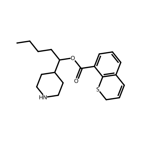 CCCCC(OC(=O)c1cccc2c1SCC=C2)C1CCNCC1